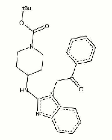 CC(C)(C)OC(=O)N1CCC(Nc2nc3ccccc3n2CC(=O)c2ccccc2)CC1